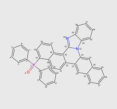 O=P(c1ccccc1)(c1ccccc1)c1cccc2c1ccc1c3cc4ccccc4cc3n3c4ccccc4nc3c21